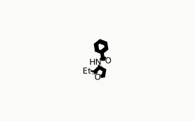 CC[C@@H]1OCC[C@@H]1NC(=O)c1ccccc1